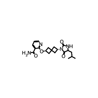 CC(C)CC1NC(=O)N([C@H]2CC3(C[C@H](Oc4ncccc4C(N)=O)C3)C2)C1=O